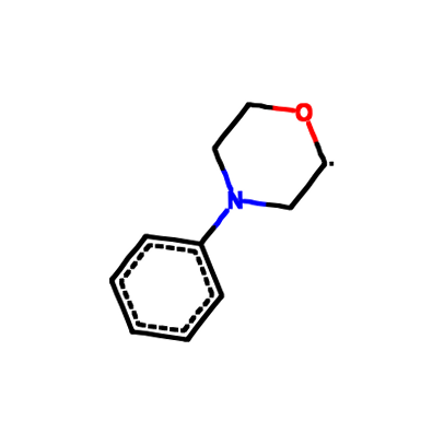 [CH]1CN(c2ccccc2)CCO1